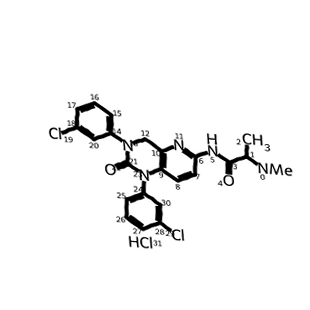 CNC(C)C(=O)Nc1ccc2c(n1)CN(c1cccc(Cl)c1)C(=O)N2c1cccc(Cl)c1.Cl